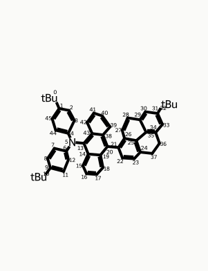 CC(C)(C)c1ccc(N(c2ccc(C(C)(C)C)cc2)c2c3ccccc3c(-c3ccc4c5c3ccc3cc(C(C)(C)C)cc(c35)CC4)c3ccccc23)cc1